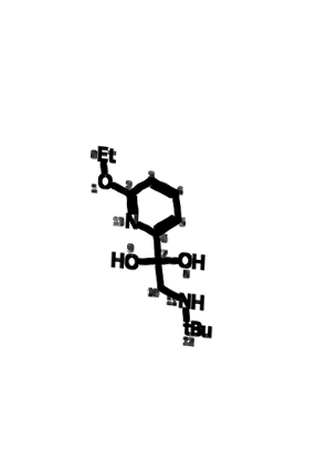 CCOc1cccc(C(O)(O)CNC(C)(C)C)n1